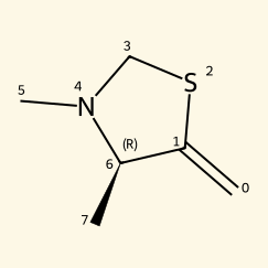 C=C1SCN(C)[C@@H]1C